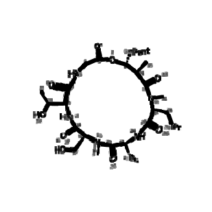 CCCCC[C@H]1OC(=O)CNC(=O)[C@H]([C@H](C)O)NC(=O)[C@H](CO)NC(=O)[C@H]([C@H](C)CC)NC(=O)[C@H](CC(C)C)N(C)C(=O)[C@@H]1C